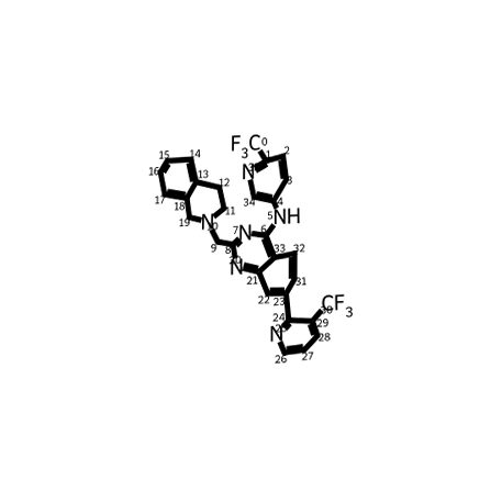 FC(F)(F)c1ccc(Nc2nc(CN3CCc4ccccc4C3)nc3cc(-c4ncccc4C(F)(F)F)ccc23)cn1